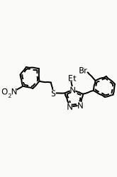 CCn1c(SCc2cccc([N+](=O)[O-])c2)nnc1-c1ccccc1Br